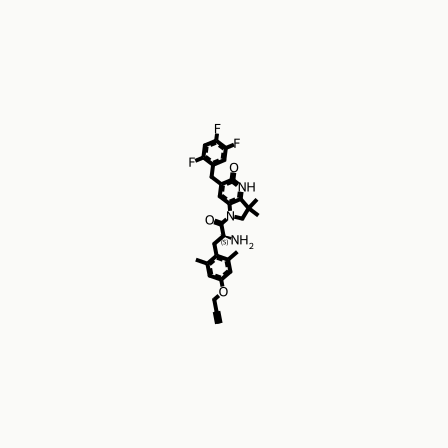 C#CCOc1cc(C)c(C[C@H](N)C(=O)N2CC(C)(C)c3[nH]c(=O)c(Cc4cc(F)c(F)cc4F)cc32)c(C)c1